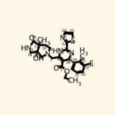 CCOC(=O)C1=C(CN2CC[C@@]3(C)C(=O)NC[C@@]3(O)C2)NC(c2nccs2)=N[C@H]1c1cccc(F)c1C